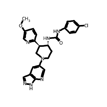 COc1ccc([C@@H]2CN(c3cnc4[nH]ncc4c3)CC[C@H]2NC(=O)Nc2ccc(Cl)cc2)nc1